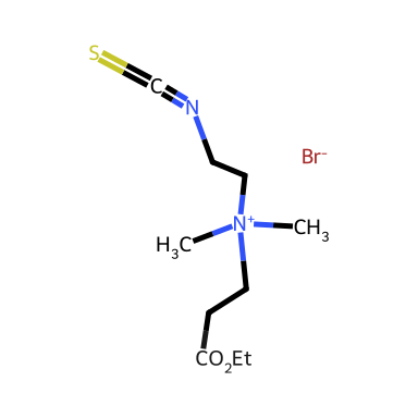 CCOC(=O)CC[N+](C)(C)CCN=C=S.[Br-]